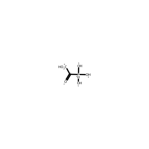 O=C(O)C(=O)[PH](O)(O)O